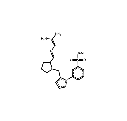 COS(=O)(=O)c1cccc(-n2cccc2CN2CCCC2/C=N/N=C(N)N)c1